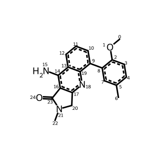 COc1ccc(C)cc1-c1cccc2c(N)c3c(nc12)CN(C)C3=O